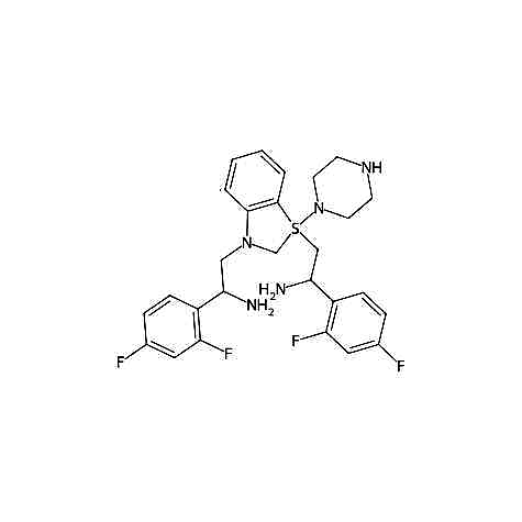 NC(CN1CS(CC(N)c2ccc(F)cc2F)(N2CCNCC2)c2ccc[c]c21)c1ccc(F)cc1F